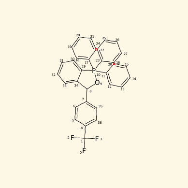 FC(F)(F)c1ccc(C2OP(c3ccccc3)(c3ccccc3)(c3ccccc3)c3ccccc32)cc1